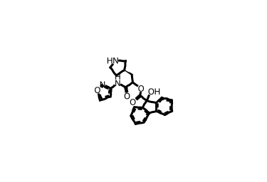 O=C(Nc1ccon1)C(C[C@H]1CCNC1)OC(=O)C1(O)c2ccccc2-c2ccccc21